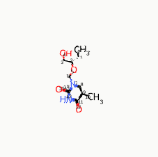 CC[C@@H](CO)OCn1cc(C)c(=O)[nH]c1=O